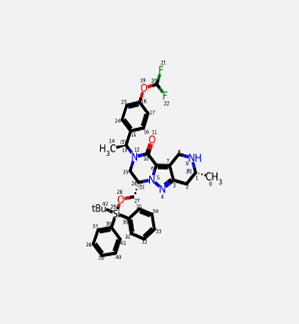 C[C@@H]1Cc2nn3c(c2CN1)C(=O)N([C@@H](C)c1ccc(OC(F)F)cc1)C[C@H]3CO[Si](c1ccccc1)(c1ccccc1)C(C)(C)C